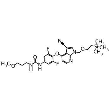 COCCCNC(=O)Nc1cc(F)c(Oc2ccnc3c2c(C#N)cn3COCC[Si](C)(C)C)c(F)c1